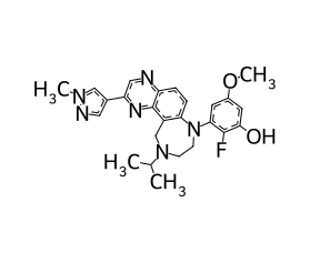 COc1cc(O)c(F)c(N2CCN(C(C)C)Cc3c2ccc2ncc(-c4cnn(C)c4)nc32)c1